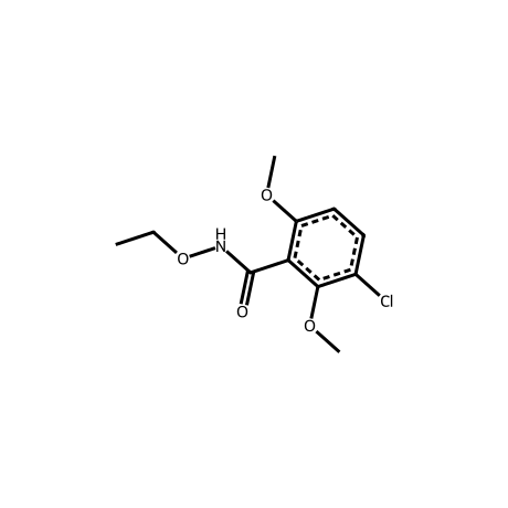 CCONC(=O)c1c(OC)ccc(Cl)c1OC